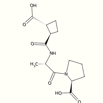 C[C@H](NC(=O)[C@@H]1CC[C@H]1C(=O)O)C(=O)N1CCC[C@H]1C(=O)O